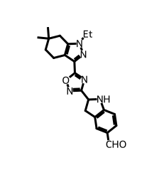 CCn1nc(-c2nc(C3Cc4cc(C=O)ccc4N3)no2)c2c1CC(C)(C)CC2